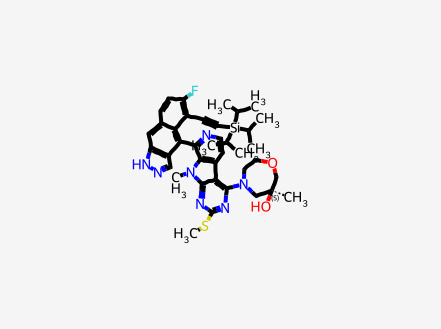 CSc1nc(N2CCOC[C@@](C)(O)C2)c2c3ccnc(-c4c5cn[nH]c5cc5ccc(F)c(C#C[Si](C(C)C)(C(C)C)C(C)C)c45)c3n(C)c2n1